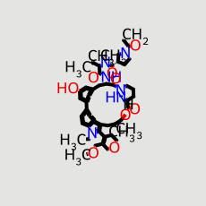 C=CC(=O)N1CC[C@H](C(=O)N(C)C(C(=O)N[C@H]2Cc3cc(O)cc(c3)-c3ccc4c(c3)c(c(C3=C(COC)COCC3)n4CC)CC(C)(C)COC(=O)[C@@H]3CCCN(N3)C2=O)C(C)C)C1